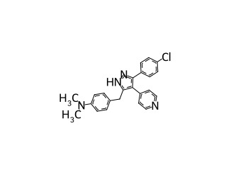 CN(C)c1ccc(Cc2[nH]nc(-c3ccc(Cl)cc3)c2-c2ccncc2)cc1